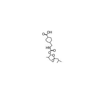 CC(C)CC(=O)OC(OC(=O)NCC1CCC(C(=O)O)CC1)C(C)C